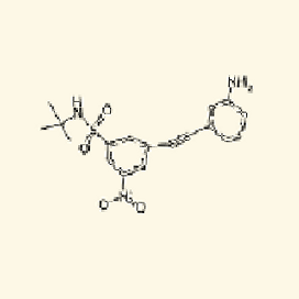 CC(C)(C)NS(=O)(=O)c1cc(C#Cc2cccc(N)c2)cc([N+](=O)[O-])c1